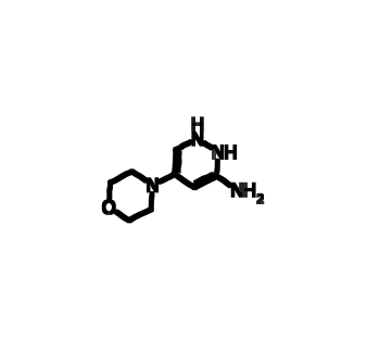 NC1=CC(N2CCOCC2)=CNN1